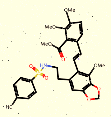 COC(=O)c1c(/C=C/c2c(CCNS(=O)(=O)c3ccc(C#N)cc3)cc3c(c2OC)OCO3)ccc(OC)c1OC